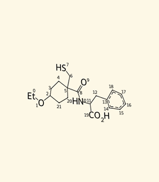 CCOC1CCC(CS)(C(=O)NC(Cc2ccccc2)C(=O)O)CC1